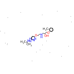 CC(C)=NNc1ccc(OCCNCC(O)COc2ccccc2C)nn1